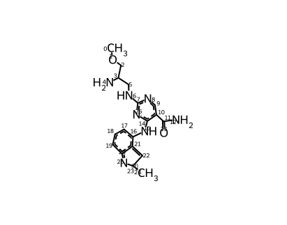 COCC(N)CNc1ncc(C(N)=O)c(Nc2cccc3c2=C[C@@H](C)N=3)n1